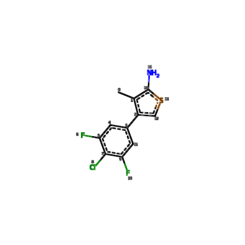 Cc1c(-c2cc(F)c(Cl)c(F)c2)csc1N